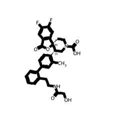 Cc1cc(-c2ccccc2CCNC(=O)CO)ccc1[C@H]1CN(C(=O)O)CC[C@@]12OC(=O)c1cc(F)c(F)cc12